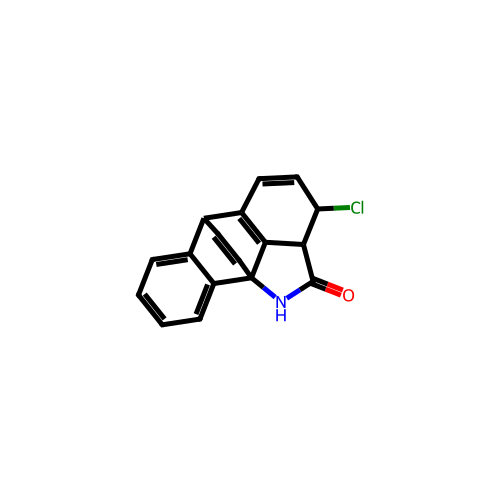 O=C1NC23C=CC(C4=C2C1C(Cl)C=C4)c1ccccc13